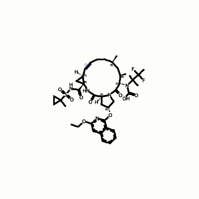 CCOc1cc2ccccc2c(O[C@@H]2C[C@H]3C(=O)N[C@]4(C(=O)NS(=O)(=O)C5(C)CC5)C[C@H]4/C=C\CC[C@@H](C)C[C@@H](C)[C@H](N(C(=O)O)C(C)(C)C(C)(F)F)C(=O)N3C2)n1